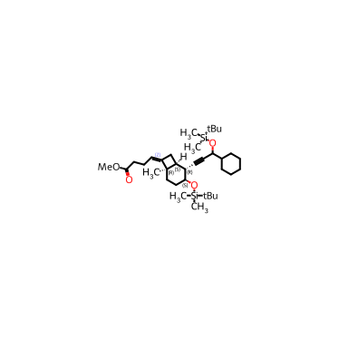 COC(=O)CC/C=C1/C[C@H]2[C@H](C#CC(O[Si](C)(C)C(C)(C)C)C3CCCCC3)[C@@H](O[Si](C)(C)C(C)(C)C)CC[C@@]12C